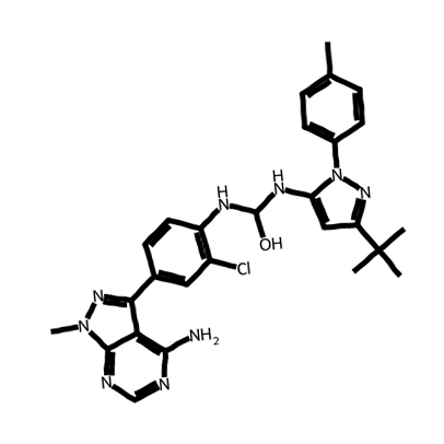 Cc1ccc(-n2nc(C(C)(C)C)cc2NC(O)Nc2ccc(-c3nn(C)c4ncnc(N)c34)cc2Cl)cc1